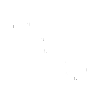 Cc1ccc2c(N3CCN(CCc4cccc5c4OCc4c(C=O)ncn4-5)CC3)cccc2n1